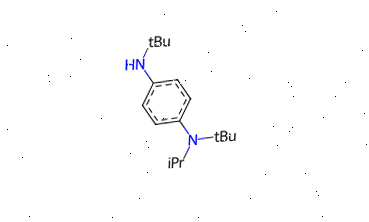 CC(C)N(c1ccc(NC(C)(C)C)cc1)C(C)(C)C